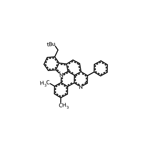 Cc1cc(C)c2c(c1)c1ncc(-c3ccccc3)c3ccc4c5c(CC(C)(C)C)cccc5n2c4c31